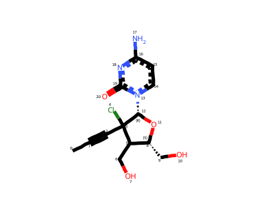 CC#CC1(Cl)C(CO)[C@@H](CO)O[C@H]1n1ccc(N)nc1=O